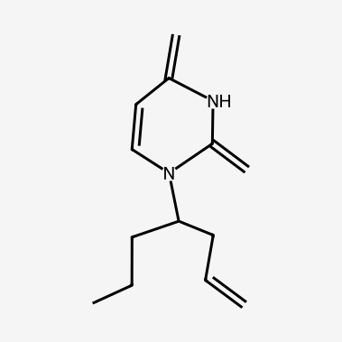 C=CCC(CCC)N1C=CC(=C)NC1=C